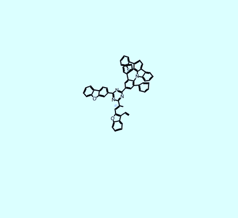 C=Cc1c(/C=C(\C)c2nc(-c3cc(-c4ccccc4)c(-n4c5ccccc5c5ccc6c7ccccc7sc6c54)c(-c4ccccc4)c3)nc(-c3ccc4c(c3)oc3ccccc34)n2)oc2ccccc12